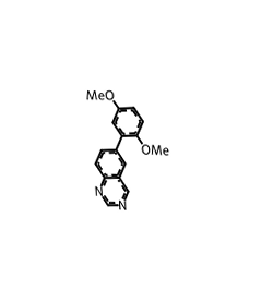 COc1ccc(OC)c(-c2ccc3ncncc3c2)c1